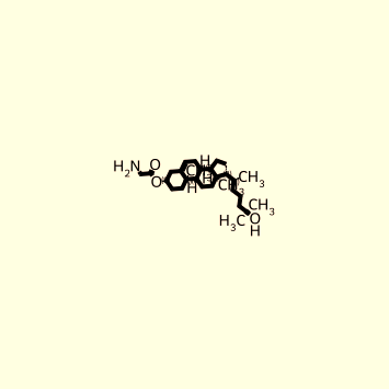 C[C@H](CCCC(C)(C)O)[C@H]1CC[C@H]2[C@@H]3CC=C4C[C@@H](OC(=O)CN)CC[C@]4(C)[C@H]3CC[C@]12C